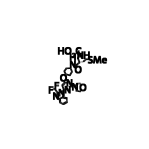 CSCC[C@@H](CNC(=O)O)C(=O)NC1CCC(Oc2cc(-n3c(C(F)F)nc4ccccc43)nc(N3CCOCC3)n2)CC1